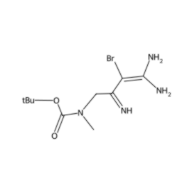 CN(CC(=N)C(Br)=C(N)N)C(=O)OC(C)(C)C